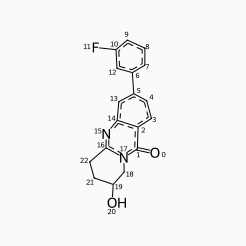 O=c1c2ccc(-c3cccc(F)c3)cc2nc2n1CC(O)CC2